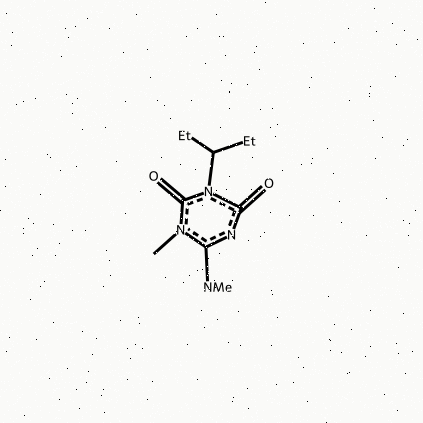 CCC(CC)n1c(=O)nc(NC)n(C)c1=O